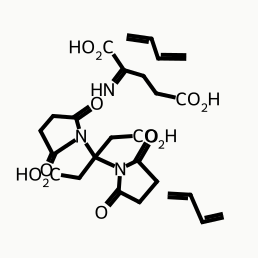 C=CC=C.C=CC=C.N=C(CCC(=O)O)C(=O)O.O=C(O)CC(CC(=O)O)(N1C(=O)CCC1=O)N1C(=O)CCC1=O